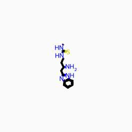 CNC(=S)NCCC(N)Cc1nc2ccccc2[nH]1